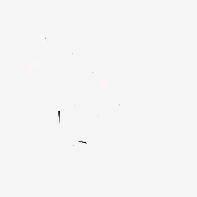 COC(=O)c1ccc2c(c1)N(C[C@@H]1CC[C@@H]1COC(C)=O)CC1(CCCc3cc(Cl)ccc31)CO2